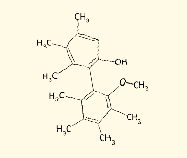 COc1c(C)c(C)c(C)c(C)c1-c1c(O)cc(C)c(C)c1C